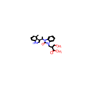 Cc1cccc2[nH]cc(C(C)n3c(=O)n(CC(CO)C(=O)O)c4ccccc43)c12